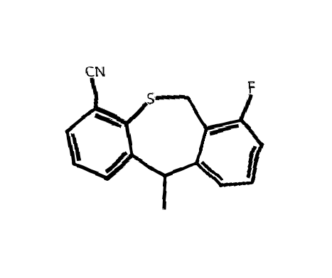 CC1c2cccc(F)c2CSc2c(C#N)cccc21